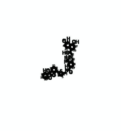 O=C(NCc1ccc(-c2cccc(C(O)(C(=O)O)c3ccccc3)c2)s1)c1ccc(CNCC(O)c2ccc(O)c3[nH]c(=O)ccc23)c(C(F)(F)F)c1